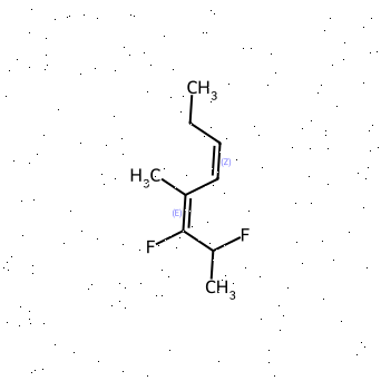 CC/C=C\C(C)=C(\F)C(C)F